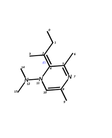 CC/C(C)=C1\C(C)=NC(C)=CN1N(C)C